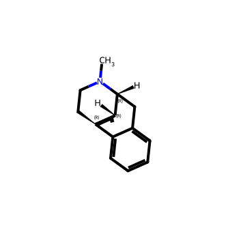 CN1CC[C@]23CCC=C[C@H]2[C@H]1Cc1ccccc13